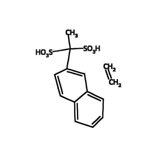 C=C.CC(c1ccc2ccccc2c1)(S(=O)(=O)O)S(=O)(=O)O